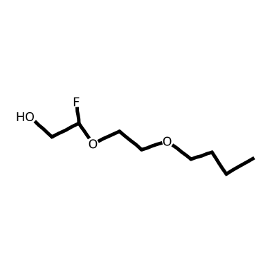 CCCCOCCOC(F)CO